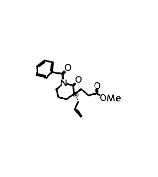 C=CC[C@]1(CCC(=O)OC)CCCN(C(=O)c2ccccc2)C1=O